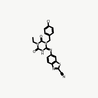 CCn1c(=O)[nH]/c(=N\c2ccc3nc(C#N)sc3c2)n(Cc2ccc(Cl)cc2)c1=O